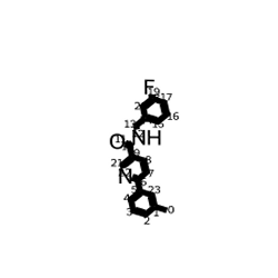 Cc1cccc(-c2ccc(C(=O)NCc3cccc(F)c3)cn2)c1